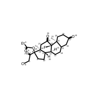 CCC(=O)O[C@]1(C(=O)CCl)CC[C@H]2[C@@H]3CCC4CC(=O)CC[C@]4(C)[C@@]3(F)C(=O)C[C@@]21C